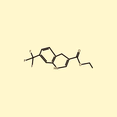 CCOC(=O)C1=CNc2cc(C(F)(F)F)ccc2C1